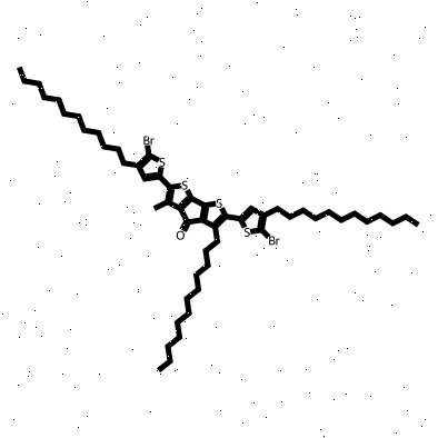 CCCCCCCCCCCCc1cc(-c2sc3c(c2C)C(=O)c2c-3sc(-c3cc(CCCCCCCCCCCC)c(Br)s3)c2CCCCCCCCCCCC)sc1Br